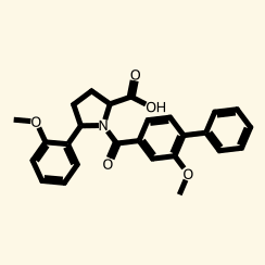 COc1cc(C(=O)N2C(C(=O)O)CCC2c2ccccc2OC)ccc1-c1ccccc1